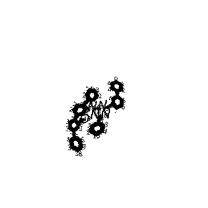 c1ccc(-c2cccc(-c3nc(-c4ccccc4)nc(-n4c5ccccc5c5ccc6c7ccc(-c8ccccc8)cc7oc6c54)n3)c2)cc1